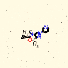 Cc1nn(-c2cccnc2)cc1N(C)C(=O)C1CC1